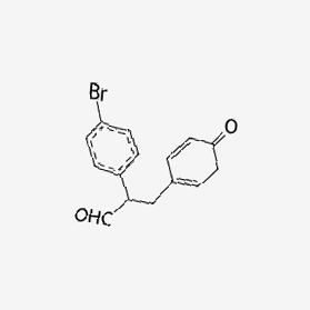 O=CC(CC1=CCC(=O)C=C1)c1ccc(Br)cc1